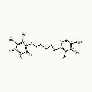 CCCc1c(OCCCCCc2c(O)c(O)c(Cl)c(Cl)c2Cl)ccc(C(=O)O)c1O